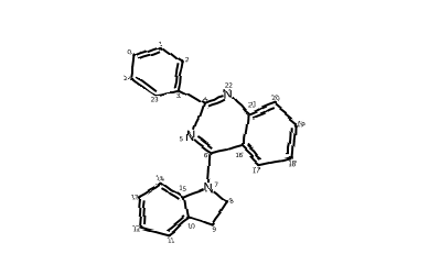 c1ccc(-c2nc(N3CCc4ccccc43)c3ccccc3n2)cc1